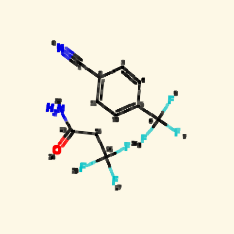 N#Cc1ccc(C(F)(F)F)cc1.NC(=O)CC(F)(F)F